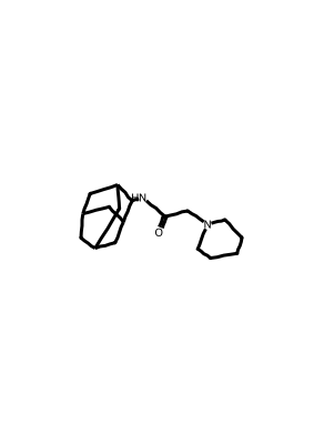 O=C(CN1CCCCC1)NC1C2CC3CC(C2)CC1C3